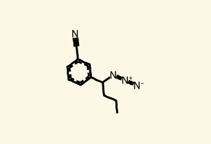 CCCC(N=[N+]=[N-])c1cccc(C#N)c1